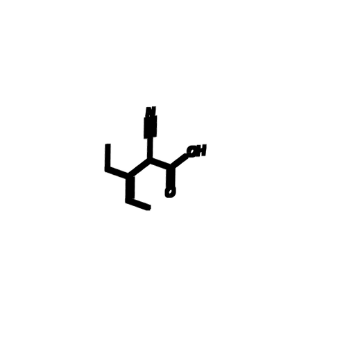 CC=C(CC)C(C#N)C(=O)O